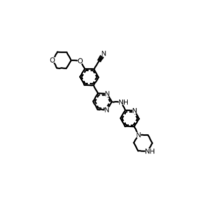 N#Cc1cc(-c2ccnc(Nc3ccc(N4CCNCC4)cn3)n2)ccc1OC1CCOCC1